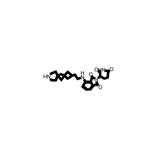 O=C1CCC(N2C(=O)c3cccc(NCCC4CC5(C4)CC4(CCNCC4)C5)c3C2=O)C(=O)N1